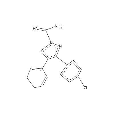 N=C(N)n1cc(C2=CCCC=C2)c(-c2ccc(Cl)cc2)n1